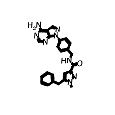 Cn1nc(C(=O)NCc2ccc(-n3ncc4c(N)ncnc43)cc2)cc1Cc1ccccc1